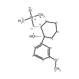 COc1cccc([C@]2(O)CCCC[C@H]2C[N+](C)(C)[O-])c1